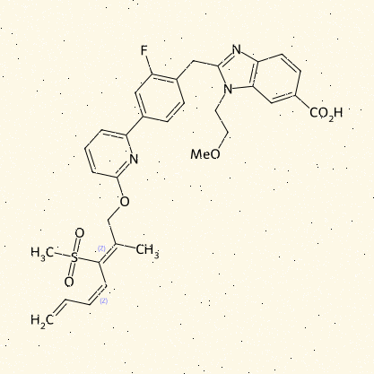 C=C/C=C\C(=C(/C)COc1cccc(-c2ccc(Cc3nc4ccc(C(=O)O)cc4n3CCOC)c(F)c2)n1)S(C)(=O)=O